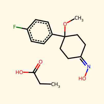 CCC(=O)O.COC1(c2ccc(F)cc2)CCC(=NO)CC1